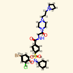 O=C(NCC(=O)N1CCN(CCCN2CCCC2)CC1)c1ccc(S(=O)(=O)N(Oc2ccc(Br)cc2Cl)c2ccccc2)cc1